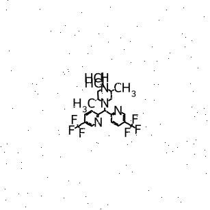 C[C@@H]1CN[C@@H](C)CN1C(c1ccc(C(F)(F)F)cn1)c1ccc(C(F)(F)F)cn1.Cl.Cl